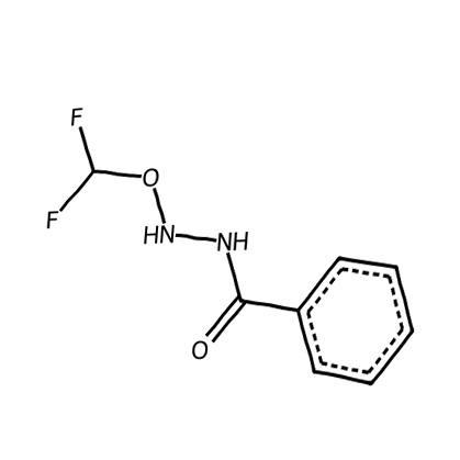 O=C(NNOC(F)F)c1ccccc1